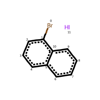 Brc1cccc2ccccc12.I